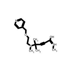 C[SH]=C(O)C#CC(C)(C)N(C)CCOCc1ccncc1